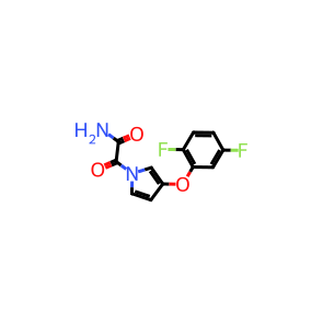 NC(=O)C(=O)n1ccc(Oc2cc(F)ccc2F)c1